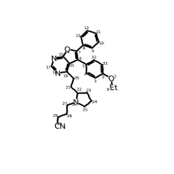 CCOc1ccc(-c2c(-c3ccccc3)oc3ncnc(CCC4CCCN4CCCC#N)c23)cc1